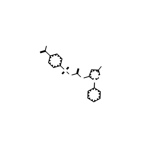 Cc1cc(NC(=O)NS(=O)(=O)c2ccc(C(N)=O)cc2)n(-c2ccccc2)n1